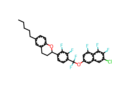 CCCCCc1ccc2c(c1)CCC(c1ccc(C(F)(F)Oc3cc(F)c4c(F)c(F)c(Cl)cc4c3)c(F)c1F)O2